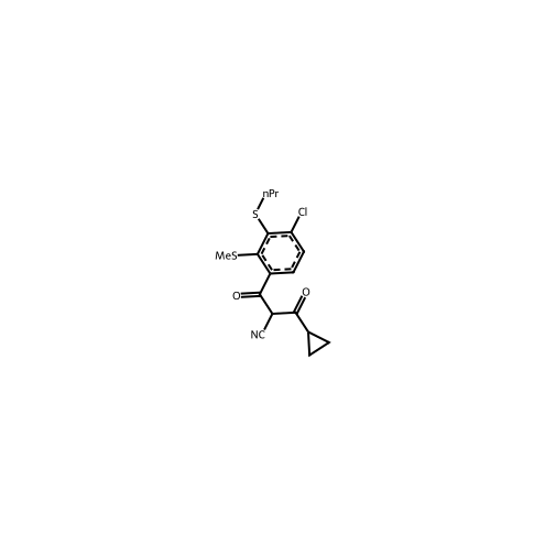 CCCSc1c(Cl)ccc(C(=O)C(C#N)C(=O)C2CC2)c1SC